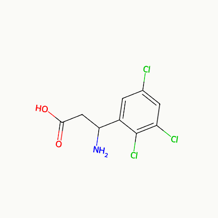 NC(CC(=O)O)c1cc(Cl)cc(Cl)c1Cl